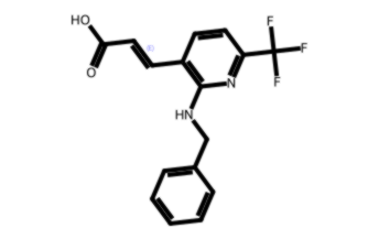 O=C(O)/C=C/c1ccc(C(F)(F)F)nc1NCc1ccccc1